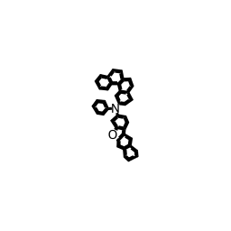 c1ccc(N(c2ccc3c(c2)oc2cc4ccccc4cc23)c2ccc3ccc4ccc5ccccc5c4c3c2)cc1